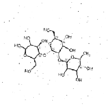 CC1O[C@H](OC2C(O)[C@@H](O)[C@H](CO)O[C@H]2O[C@@H]2C(CO)OC(O)C(O)[C@H]2O)C(O)C(O)[C@H]1O